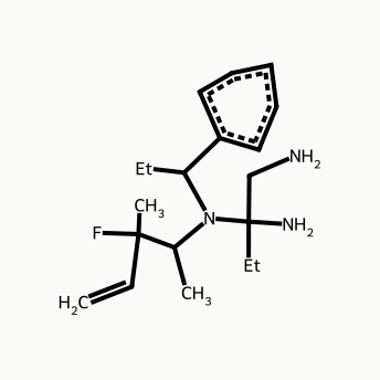 C=CC(C)(F)C(C)N(C(CC)c1ccccc1)C(N)(CC)CN